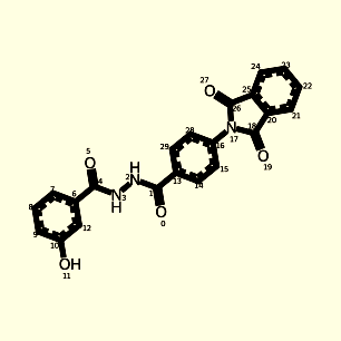 O=C(NNC(=O)c1cccc(O)c1)c1ccc(N2C(=O)c3ccccc3C2=O)cc1